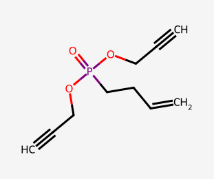 C#CCOP(=O)(CCC=C)OCC#C